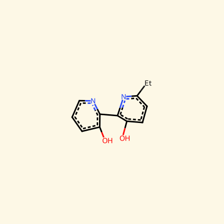 CCc1ccc(O)c(-c2ncccc2O)n1